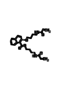 C=CC(=O)NCCCCOC(=O)c1c(OCCCCNC(=O)C=C)ccc2ccccc12